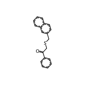 O=C(CSCc1ccc2ccccc2c1)c1ccccc1